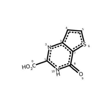 O=C(O)c1nc2ccsc2c(=O)[nH]1